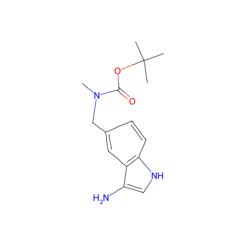 CN(Cc1ccc2[nH]cc(N)c2c1)C(=O)OC(C)(C)C